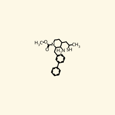 COC(=O)N1CCC(CC(C)S)C(N)C1Cc1cccc(-c2ccccc2)c1